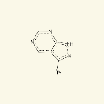 CC(C)c1n[nH]c2ncncc12